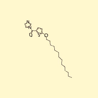 CCCCCCCCCCCCCCOc1ccc(C(=O)n2ccnc2)s1